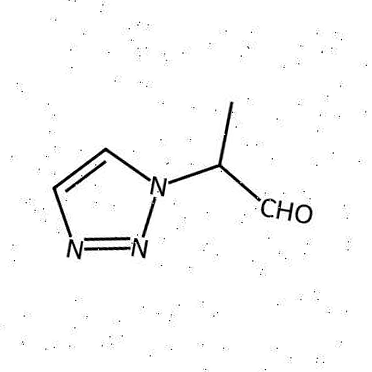 CC(C=O)n1ccnn1